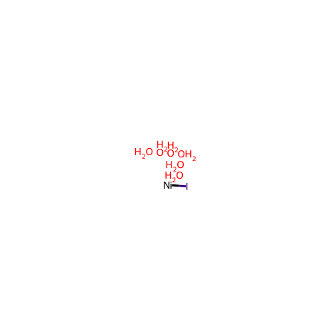 O.O.O.O.O.O.[Ni][I]